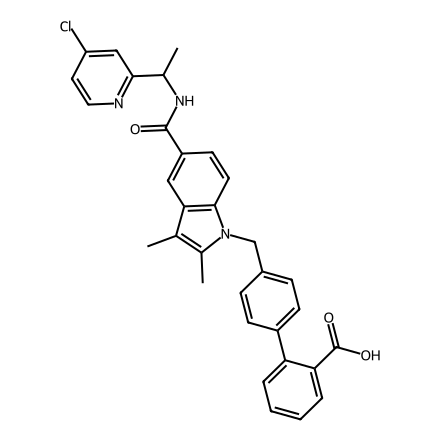 Cc1c(C)n(Cc2ccc(-c3ccccc3C(=O)O)cc2)c2ccc(C(=O)NC(C)c3cc(Cl)ccn3)cc12